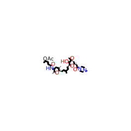 CC(=O)O[C@@H](C)C=CC(=O)N[C@@H]1C[C@H](C)[C@H](CC=C(C)C=C[C@H]2O[C@H](CC(=O)N3CCN(C)CC3)C[C@@]3(CO3)[C@@H]2O)O[C@@H]1C